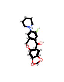 O=C1c2cc(F)c(N3CCCCC3)cc2COc2cc3c(cc21)OCO3